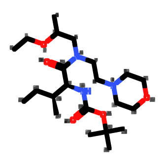 CCOC(C)CN(CCN1CCOCC1)C(=O)[C@@H](NC(=O)OC(C)(C)C)[C@@H](C)CC